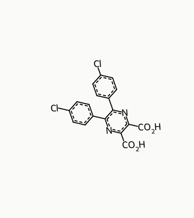 O=C(O)c1nc(-c2ccc(Cl)cc2)c(-c2ccc(Cl)cc2)nc1C(=O)O